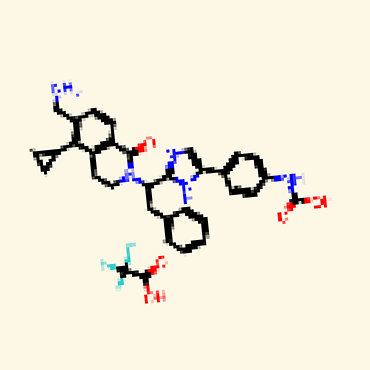 NCc1ccc2c(c1C1CC1)CCN(C(Cc1ccccc1)c1ncc(-c3ccc(NC(=O)O)cc3)[nH]1)C2=O.O=C(O)C(F)(F)F